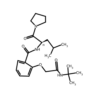 CC(C)C[C@@H](NC(=O)c1ccccc1OCC(=O)NC(C)(C)C)C(=O)N1CCCC1